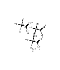 O=C([O-])C(F)(F)F.O=C([O-])C(F)(F)F.O=C([O-])C(F)(F)F.[Er+3]